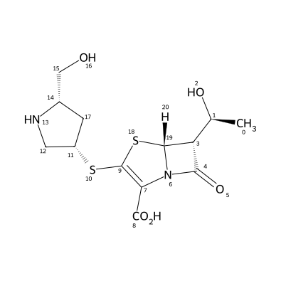 C[C@H](O)[C@@H]1C(=O)N2C(C(=O)O)=C(S[C@@H]3CN[C@H](CO)C3)S[C@H]12